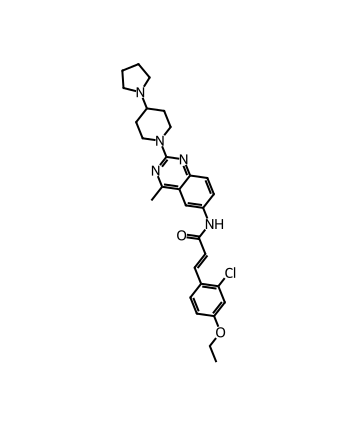 CCOc1ccc(C=CC(=O)Nc2ccc3nc(N4CCC(N5CCCC5)CC4)nc(C)c3c2)c(Cl)c1